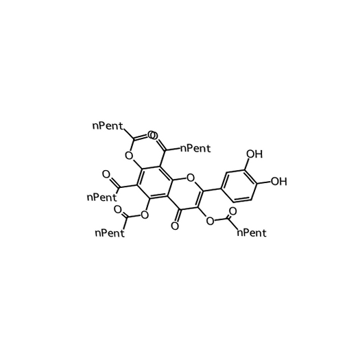 CCCCCC(=O)Oc1c(C(=O)CCCCC)c(OC(=O)CCCCC)c2c(=O)c(OC(=O)CCCCC)c(-c3ccc(O)c(O)c3)oc2c1C(=O)CCCCC